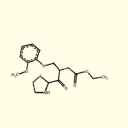 CCOC(=O)CC(COc1ccccc1OC)C(=O)C1NCCS1